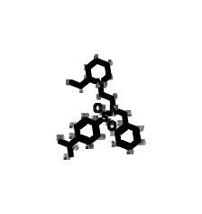 CCC1CCCCN1CCN(Cc1ccccc1)S(=O)(=O)c1ccc(C(C)C)cc1